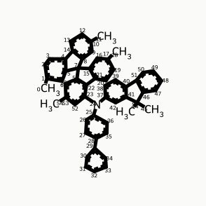 Cc1ccc2c(c1)C1(c3cc(C)ccc3-2)c2cc(C)ccc2-c2c(N(c3ccc(-c4ccccc4)cc3)c3ccc4c(c3)C(C)(C)c3ccccc3-4)cc(C)cc21